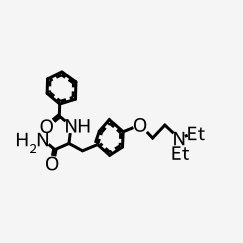 CCN(CC)CCOc1ccc(CC(NC(=O)c2ccccc2)C(N)=O)cc1